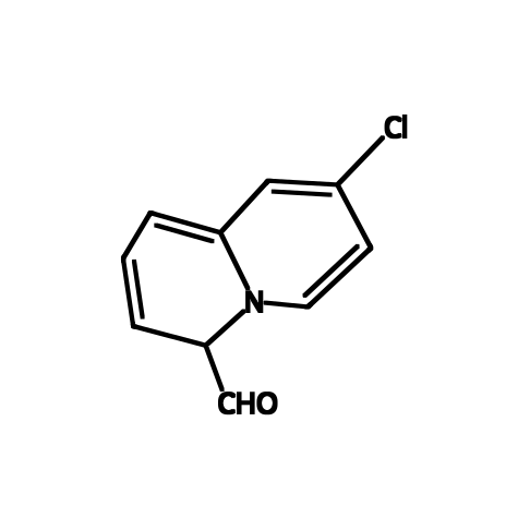 O=CC1C=CC=C2C=C(Cl)C=CN21